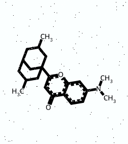 CC1CC2CC(C)CC(c3cc(=O)c4ccc(N(C)C)cc4o3)(C1)C2